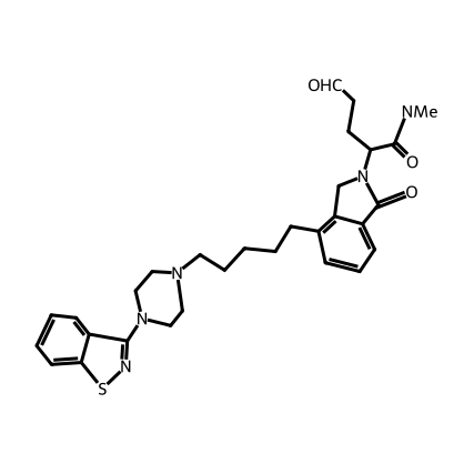 CNC(=O)C(CCC=O)N1Cc2c(CCCCCN3CCN(c4nsc5ccccc45)CC3)cccc2C1=O